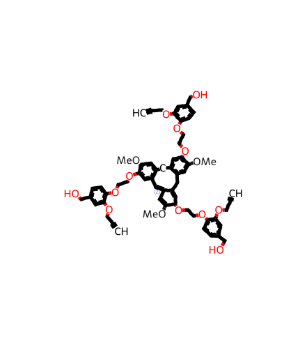 C#CCOc1cc(CO)ccc1OCCOc1cc2c(cc1OC)Cc1cc(OCCOc3ccc(CO)cc3OCC#C)c(OC)cc1CC1=CC(OCCOc3ccc(CO)cc3OCC#C)C(OC)=C/C1=C/2